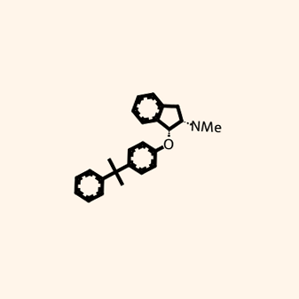 CN[C@H]1Cc2ccccc2[C@H]1Oc1ccc(C(C)(C)c2ccccc2)cc1